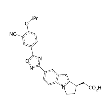 CC(C)Oc1ccc(-c2nc(-c3ccc4c(c3)cc3n4CC[C@@H]3CC(=O)O)no2)cc1C#N